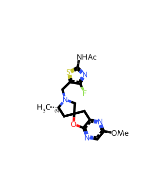 COc1cnc2c(n1)CC1(C[C@H](C)N(Cc3sc(NC(C)=O)nc3F)C1)O2